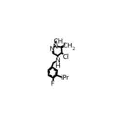 C=C1C(Cl)C(NCc2ccc(F)c(C(C)C)c2)C=NN1C